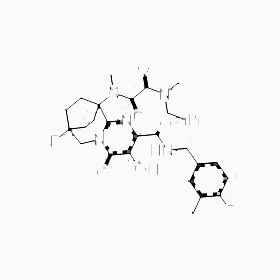 Cc1cc(CNC(=O)c2nc3n(c(=O)c2O)CC2(F)CCC3(N(C)C(=O)C(=O)N(C)CC(C)C)CC2)ccc1F